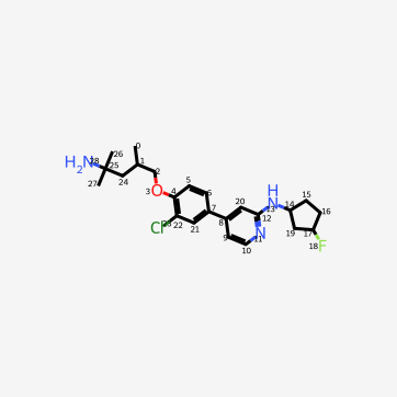 CC(COc1ccc(-c2ccnc(NC3CCC(F)C3)c2)cc1Cl)CC(C)(C)N